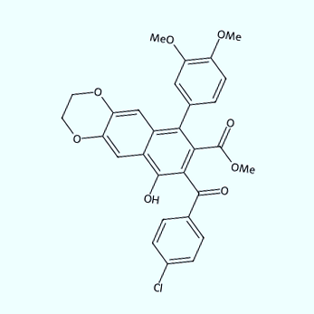 COC(=O)c1c(C(=O)c2ccc(Cl)cc2)c(O)c2cc3c(cc2c1-c1ccc(OC)c(OC)c1)OCCO3